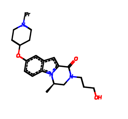 CC(C)N1CCC(Oc2ccc3c(c2)cc2n3[C@H](C)CN(CCCO)C2=O)CC1